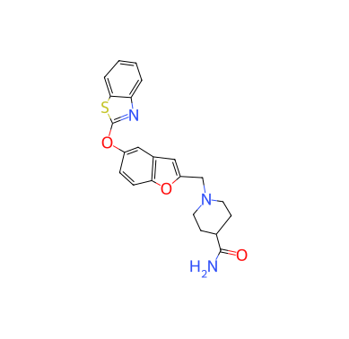 NC(=O)C1CCN(Cc2cc3cc(Oc4nc5ccccc5s4)ccc3o2)CC1